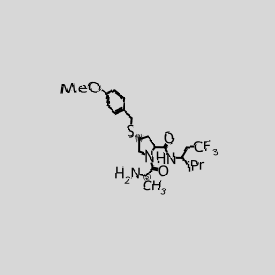 COc1ccc(CS[C@@H]2CC(C(=O)NC(CC(F)(F)F)C(C)C)N(C(=O)[C@H](C)N)C2)cc1